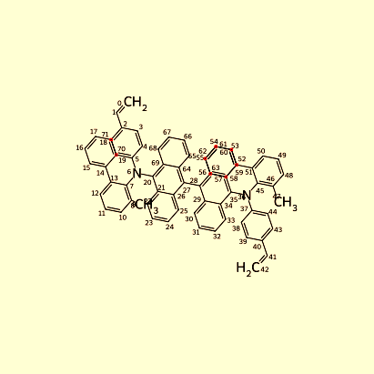 C=Cc1ccc(N(c2c(C)cccc2-c2ccccc2)c2c3ccccc3c(-c3c4ccccc4c(N(c4ccc(C=C)cc4)c4c(C)cccc4-c4ccccc4)c4ccccc34)c3ccccc23)cc1